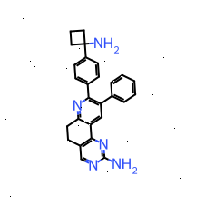 Nc1ncc2c(n1)-c1cc(-c3ccccc3)c(-c3ccc(C4(N)CCC4)cc3)nc1CC2